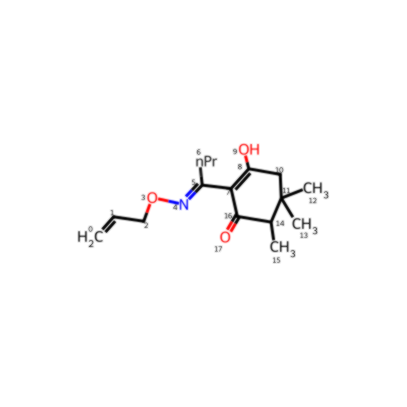 C=CCON=C(CCC)C1=C(O)CC(C)(C)C(C)C1=O